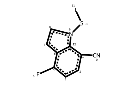 N#Cc1ccc(F)c2ccn(SI)c12